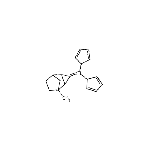 CC12CCC(C1)C1[C](=[Ti]([CH]3C=CC=C3)[CH]3C=CC=C3)C12